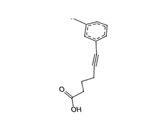 [CH2]c1cccc(C#CCCCC(=O)O)c1